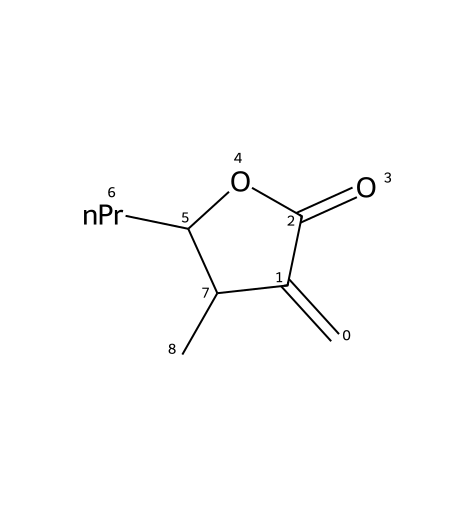 C=C1C(=O)OC(CCC)C1C